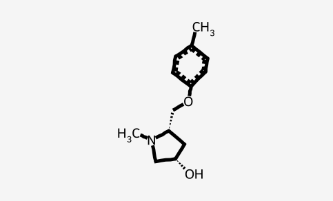 Cc1ccc(OC[C@@H]2C[C@H](O)CN2C)cc1